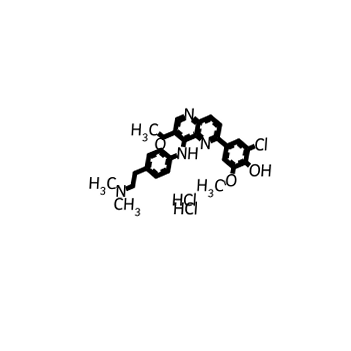 COc1cc(-c2ccc3ncc(C(C)=O)c(Nc4ccc(CCN(C)C)cc4)c3n2)cc(Cl)c1O.Cl.Cl